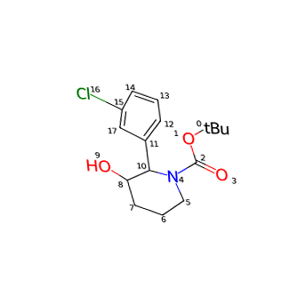 CC(C)(C)OC(=O)N1CCCC(O)C1c1cccc(Cl)c1